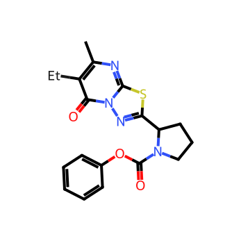 CCc1c(C)nc2sc(C3CCCN3C(=O)Oc3ccccc3)nn2c1=O